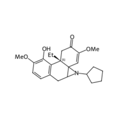 CC[C@@]12CC(=O)C(OC)=CC13C(Cc1ccc(OC)c(O)c12)N3C1CCCC1